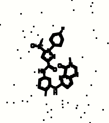 Cc1ccc(NC(=O)c2cc([S+](C)[O-])n(-c3ccc(F)cc3)n2)cc1Nc1ccc2ncn(C)c(=O)c2n1